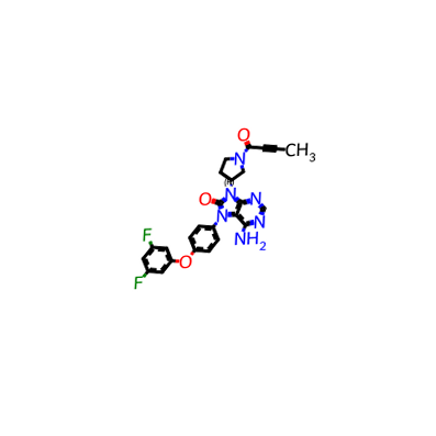 CC#CC(=O)N1CC[C@@H](n2c(=O)n(-c3ccc(Oc4cc(F)cc(F)c4)cc3)c3c(N)ncnc32)C1